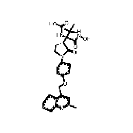 Cc1cc(COc2ccc(N3CC[C@H]([C@@](NC(=O)O)(C(=O)NO)C(C)(C)C)C3=O)cc2)c2ccccc2n1